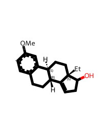 CC[C@]12CC[C@@H]3c4cc(OC)[c]cc4CC[C@H]3C1=CCC2O